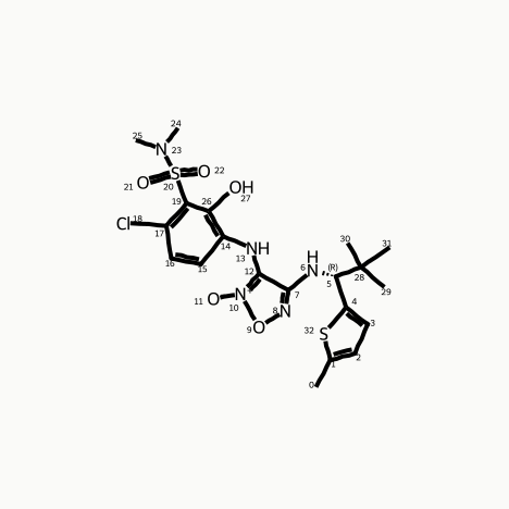 Cc1ccc([C@H](Nc2no[n+]([O-])c2Nc2ccc(Cl)c(S(=O)(=O)N(C)C)c2O)C(C)(C)C)s1